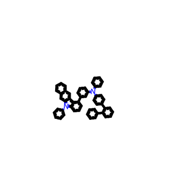 c1ccc(-c2ccccc2-c2ccc(N(c3ccccc3)c3cccc(-c4cccc5c4c4cc6ccccc6cc4n5-c4ccccc4)c3)cc2)cc1